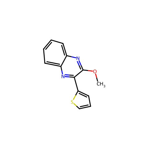 COc1nc2ccccc2nc1-c1cccs1